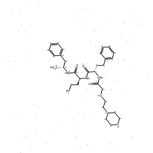 CC(C)CC[C@H](NC(=O)[C@H](CCc1ccccc1)NC(=O)COCCN1CCOCC1)C(=O)N[C@@H](Cc1ccccc1)C(=O)O